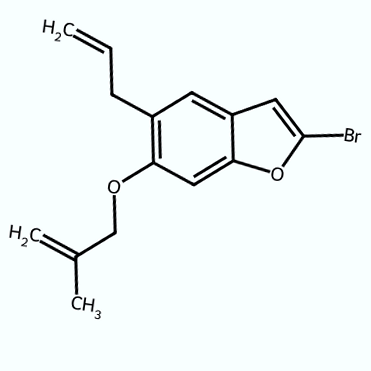 C=CCc1cc2cc(Br)oc2cc1OCC(=C)C